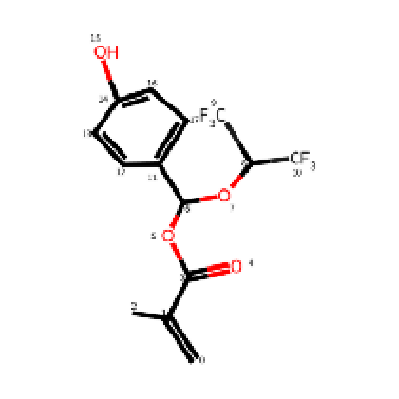 C=C(C)C(=O)OC(OC(C(F)(F)F)C(F)(F)F)c1ccc(O)cc1